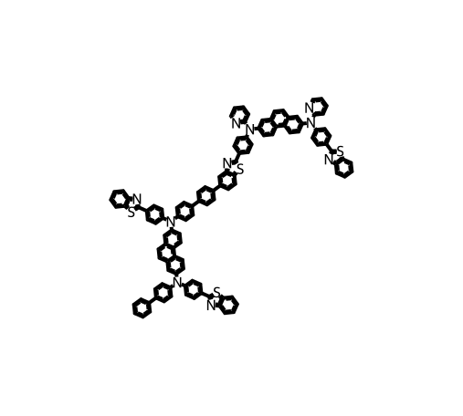 c1ccc(-c2ccc(N(c3ccc(-c4nc5ccccc5s4)cc3)c3ccc4c(ccc5cc(N(c6ccc(-c7ccc(-c8ccc9sc(-c%10ccc(N(c%11ccc%12c(ccc%13cc(N(c%14ccc(-c%15nc%16ccccc%16s%15)cc%14)c%14ccccn%14)ccc%13%12)c%11)c%11ccccn%11)cc%10)nc9c8)cc7)cc6)c6ccc(-c7nc8ccccc8s7)cc6)ccc54)c3)cc2)cc1